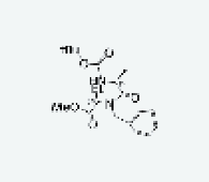 CC[C@H](C(=O)OC)N(Cc1ccccc1)C(=O)[C@H](C)NC(=O)OC(C)(C)C